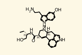 CC[C@@H](CO)NC(=O)[C@@H]1C=C2c3cccc4[nH]cc(c34)C[C@H]2N(C)C1.NCCc1c[nH]c2ccc(O)cc12